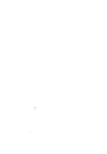 CC(C)(C)OC(=O)NCC1Cc2ccc(OCc3ccccc3)cc2C1